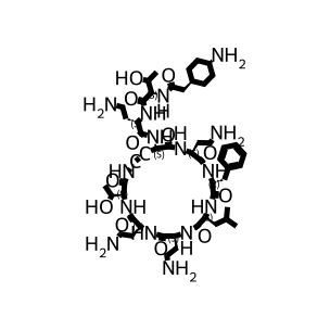 CC(C)C[C@@H]1NC(=O)[C@@H](Cc2ccccc2)NC(=O)[C@H](CCN)NC(=O)[C@@H](NC(=O)[C@H](CCN)NC(=O)[C@@H](NC(=O)C[C@H]2CC[C@@H](N)CC2)C(C)O)CCNC(=O)[C@H](C(C)O)NC(=O)[C@H](CCN)NC(=O)[C@H](CCN)NC1=O